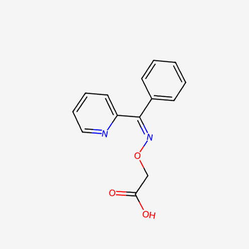 O=C(O)CON=C(c1ccccc1)c1ccccn1